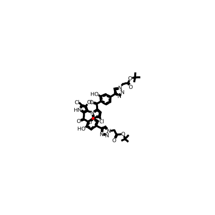 CC(C)(C)OC(=O)Cn1cc(-c2ccc(C(=O)c3[nH]c(Cl)c(Cl)c3-n3c(C(=O)c4ccc(-c5cn(CC(=O)OC(C)(C)C)nn5)cc4O)cc(Cl)c3Cl)c(O)c2)nn1